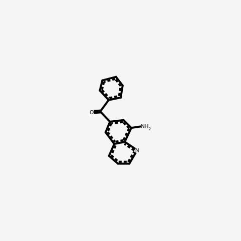 Nc1cc(C(=O)c2ccccc2)cc2cccnc12